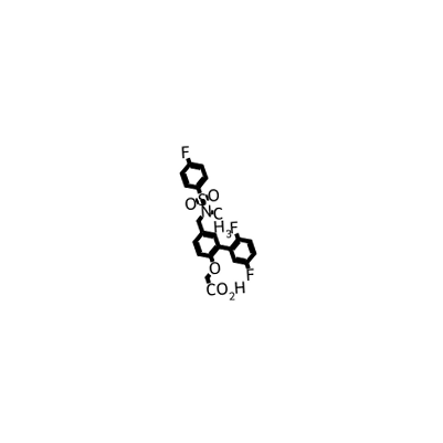 CN(Cc1ccc(OCC(=O)O)c(-c2cc(F)ccc2F)c1)S(=O)(=O)c1ccc(F)cc1